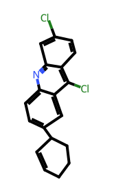 Clc1ccc2c(Cl)c3cc(C4C=CCCC4)ccc3nc2c1